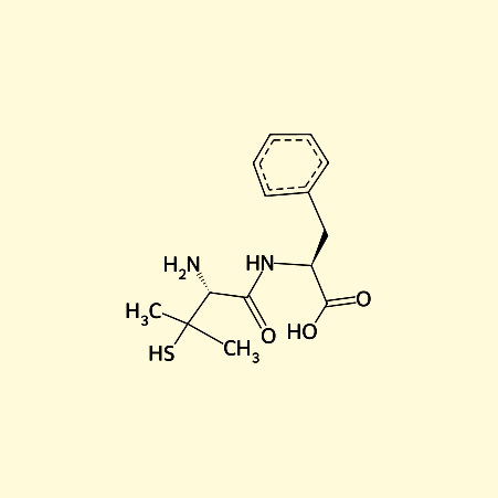 CC(C)(S)[C@H](N)C(=O)N[C@@H](Cc1ccccc1)C(=O)O